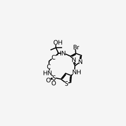 CC(C)(O)C1CCCNS(=O)(=O)c2cc(cs2)Nc2ncc(Br)c(n2)N1